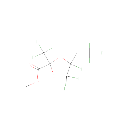 COC(=O)C1(C(F)(F)F)OC(F)(F)C(F)(CC(F)(F)F)O1